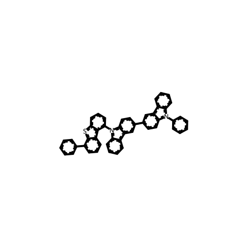 c1ccc(-c2cccc3c2sc2cccc(-n4c5ccccc5c5cc(-c6ccc7c(c6)c6ccccc6n7-c6ccccc6)ccc54)c23)cc1